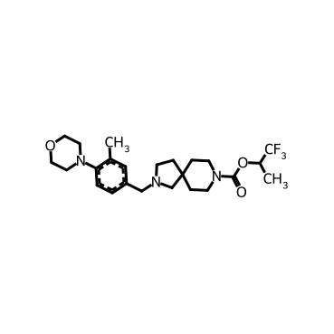 Cc1cc(CN2CCC3(CCN(C(=O)OC(C)C(F)(F)F)CC3)C2)ccc1N1CCOCC1